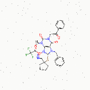 Cn1c2c(c(=O)n(CC(=O)c3ccccc3)c1=O)N(Cc1ccccc1)C(SC1(CN)CCCC1)N2OC(=O)C(F)(F)F